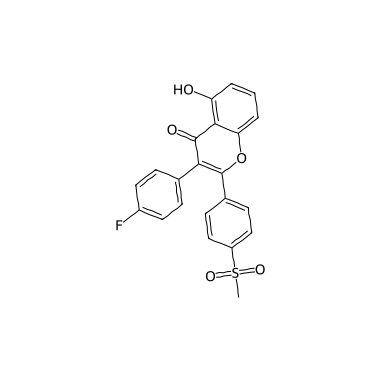 CS(=O)(=O)c1ccc(-c2oc3cccc(O)c3c(=O)c2-c2ccc(F)cc2)cc1